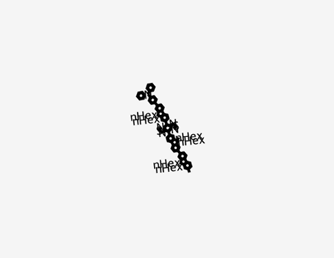 CCCCCCC1(CCCCCC)c2cc(C)ccc2-c2ccc(-c3ccc4c(c3)C(CCCCCC)(CCCCCC)c3cc(-c5c6c(c(-c7ccc8c(c7)C(CCCCCC)(CCCCCC)c7cc(-c9ccc(N(c%10ccccc%10)c%10ccccc%10)cc9)ccc7-8)c7nsnc57)N=S=N6)ccc3-4)cc21